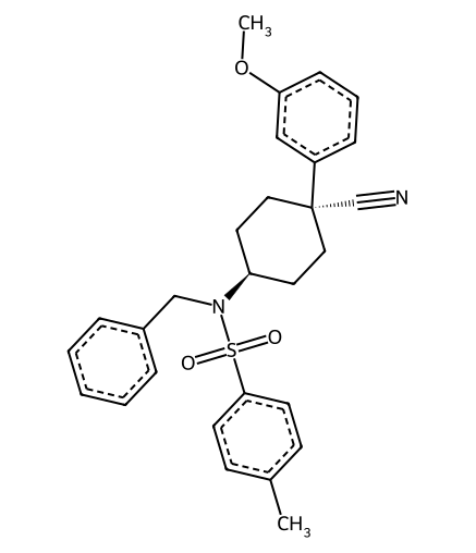 COc1cccc([C@]2(C#N)CC[C@H](N(Cc3ccccc3)S(=O)(=O)c3ccc(C)cc3)CC2)c1